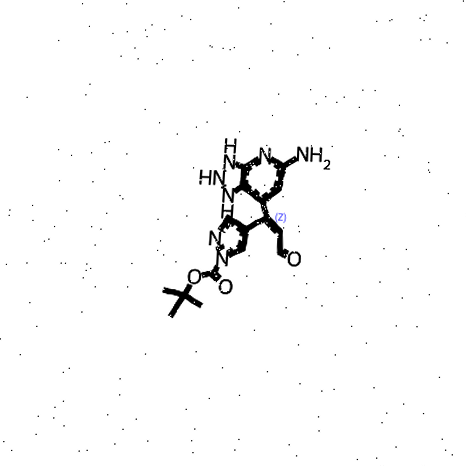 CC(C)(C)OC(=O)n1cc(/C(=C\C=O)c2cc(N)nc3c2NNN3)cn1